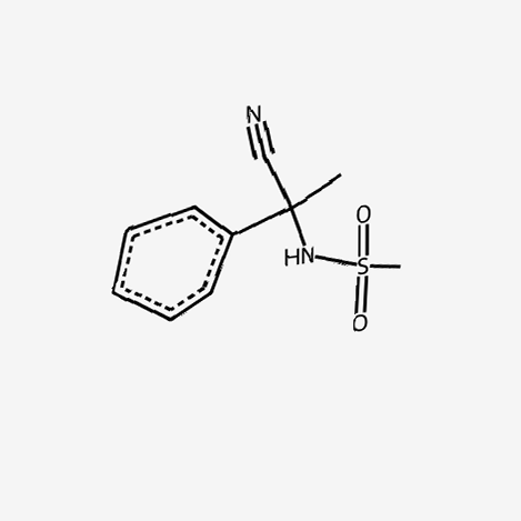 CC(C#N)(NS(C)(=O)=O)c1ccccc1